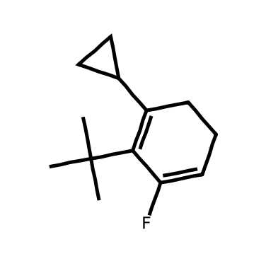 CC(C)(C)C1=C(C2CC2)CCC=C1F